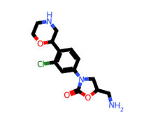 NCC1CN(c2ccc(C3CNCCO3)c(Cl)c2)C(=O)O1